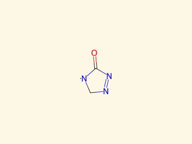 O=C1[N]CN=N1